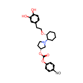 O=Nc1ccc(OC(=O)O[C@@H]2CCN([C@@H]3CCCC[C@H]3OCCc3ccc(O)c(O)c3)C2)cc1